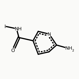 Nc1ccc(C(=O)NI)cn1